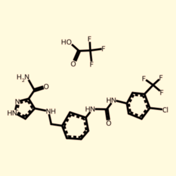 NC(=O)c1n[nH]cc1NCc1cccc(NC(=O)Nc2ccc(Cl)c(C(F)(F)F)c2)c1.O=C(O)C(F)(F)F